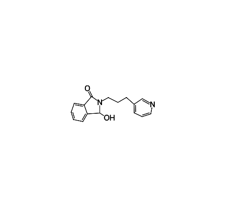 O=C1c2ccccc2C(O)N1CCCc1cccnc1